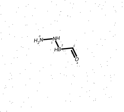 NNBC=O